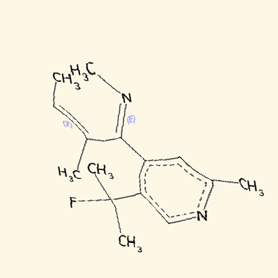 C/C=C(C)\C(=N/C)c1cc(C)ncc1C(C)(C)F